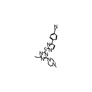 CCc1nc(Sc2nccc(-c3ccc(C#N)cc3)n2)nc(N2CCN(C)CC2)n1